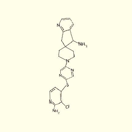 Nc1nccc(Sc2cnc(N3CCC4(CC3)Cc3ncccc3C4N)cn2)c1Cl